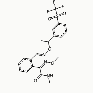 CNC(=O)C(=NOC)c1ccccc1C=NOC(C)c1cccc(S(=O)(=O)C(F)(F)F)c1